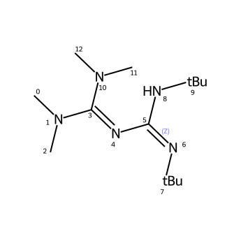 CN(C)C(=N/C(=N\C(C)(C)C)NC(C)(C)C)N(C)C